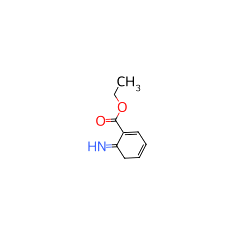 CCOC(=O)C1=CC=CCC1=N